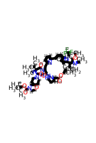 C=C/C(=C(\N=C/C)[C@H](C)OC)c1c2c3cc(ccc3n1CC(F)(F)F)-c1cccc(n1)C[C@H](NC(=O)[C@H](C(C)C)N(C)C(=O)N1CCC3(CC1)CN(C(=O)OC(C)(C)C)CCO3)C(=O)N1CCC[C@H](N1)C(=O)OCC(C)(C)C2